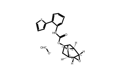 C[N+]1(C)[C@@H]2C[C@@H](OC(=O)Nc3ccccc3-c3cccs3)C[C@H]1[C@@H]1O[C@@H]12.O=C[O-]